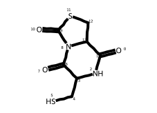 O=C1NC(CS)C(=O)N2C(=O)SCC12